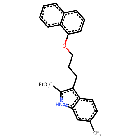 CCOC(=O)c1[nH]c2cc(C(F)(F)F)ccc2c1CCCOc1cccc2ccccc12